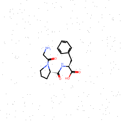 NCC(=O)N1CCC[C@H]1C(=O)N[C@@H](Cc1ccccc1)C(=O)O